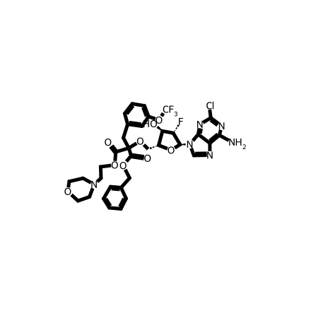 Nc1nc(Cl)nc2c1ncn2[C@@H]1O[C@H](COC(Cc2cccc(OC(F)(F)F)c2)(C(=O)OCCN2CCOCC2)C(=O)OCc2ccccc2)[C@@H](O)[C@@H]1F